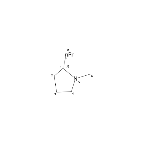 CCC[C@H]1CCCN1C